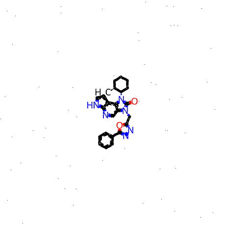 C[C@@H]1CCCC[C@@H]1n1c(=O)n(Cc2nnc(-c3ccccc3)o2)c2cnc3[nH]ccc3c21